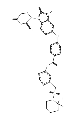 Cn1c(=O)n(C2CCC(=O)NC2=O)c2ccc(Nc3ccc(C(=O)Nc4cccc(CS(=O)(=O)N5CCCCC5(C)C)c4)cc3)cc21